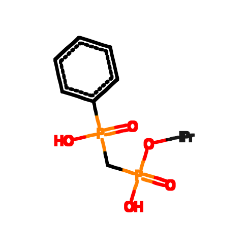 CC(C)OP(=O)(O)CP(=O)(O)c1ccccc1